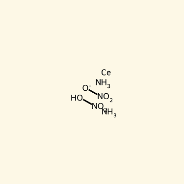 N.N.O=[N+]([O-])O.O=[N+]([O-])[O-].[Ce]